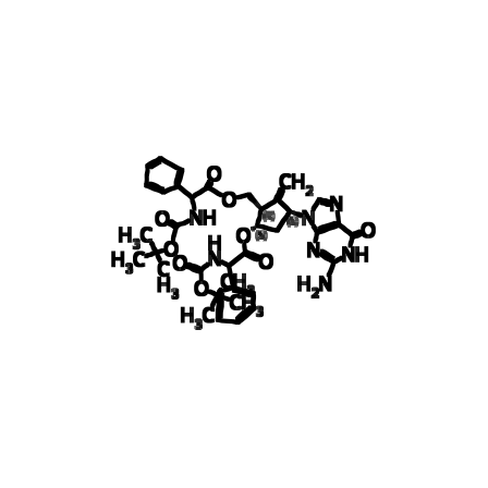 C=C1[C@H](COC(=O)C(NC(=O)OC(C)(C)C)c2ccccc2)[C@@H](OC(=O)C(NC(=O)OC(C)(C)C)c2ccccc2)C[C@@H]1n1cnc2c(=O)[nH]c(N)nc21